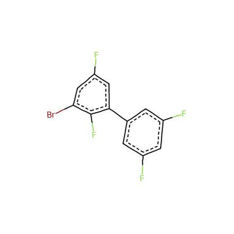 Fc1cc(F)cc(-c2cc(F)cc(Br)c2F)c1